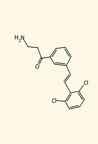 NCCC(=O)c1cccc(C=Cc2c(Cl)cccc2Cl)c1